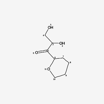 O=C(C(O)CO)C1CCCCO1